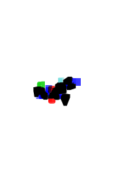 O=C(NCc1cc(Cl)ccn1)c1cn(C2CC2)c2cc(N3CCNCC3)c(F)cc2c1=O